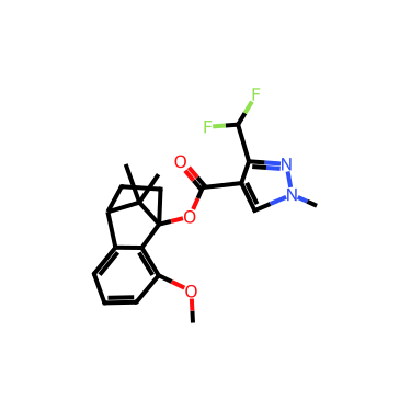 COc1cccc2c1C1(OC(=O)c3cn(C)nc3C(F)F)CCC2C1(C)C